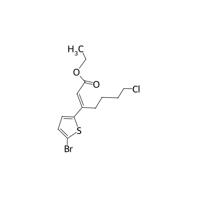 CCOC(=O)C=C(CCCCCl)c1ccc(Br)s1